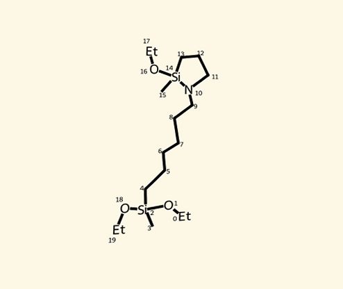 CCO[Si](C)(CCCCCCN1CCC[Si]1(C)OCC)OCC